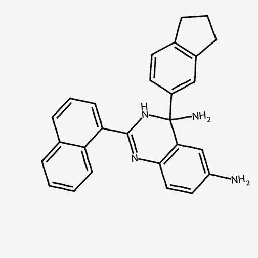 Nc1ccc2c(c1)C(N)(c1ccc3c(c1)CCC3)NC(c1cccc3ccccc13)=N2